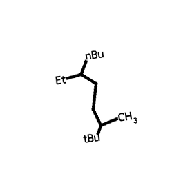 CCCCC(CC)CCC(C)C(C)(C)C